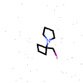 ICC1(N2CCCC2)CCC1